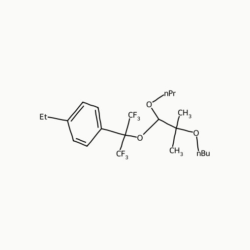 CCCCOC(C)(C)C(OCCC)OC(c1ccc(CC)cc1)(C(F)(F)F)C(F)(F)F